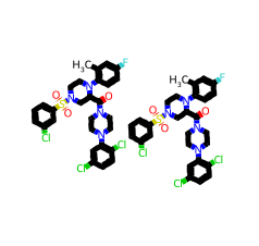 Cc1cc(F)ccc1N1CCN(S(=O)(=O)c2cccc(Cl)c2)CC1C(=O)N1CCN(c2cc(Cl)ccc2Cl)CC1.Cc1cc(F)ccc1N1CCN(S(=O)(=O)c2cccc(Cl)c2)CC1C(=O)N1CCN(c2cc(Cl)ccc2Cl)CC1